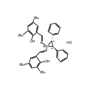 CC(C)(C)c1cc(C=[N][Mn]2([N]=Cc3cc(C(C)(C)C)cc(C(C)(C)C)c3O)[C@H](c3ccccc3)[C@H]2c2ccccc2)c(O)c(C(C)(C)C)c1.Cl